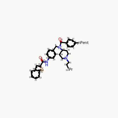 CCCCCc1ccc(C(=O)N(Cc2ccc(NC(=O)c3cc4ccccc4s3)cc2)C2CCN(CCC(C)C)CC2)cc1